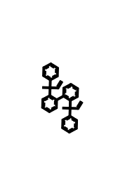 C=CC(C)(c1ccccc1)c1ccccc1-c1ccccc1C(C)(C=C)c1ccccc1